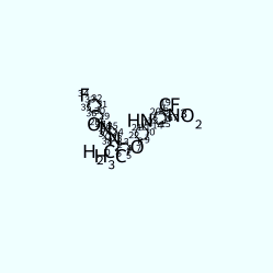 C=C/C(=C\C(=C/C)O[C@H]1CC[C@H](Nc2ccc([N+](=O)[O-])c(C(F)(F)F)c2)CC1)N1CCN(C(=O)Cc2ccc(F)cc2)CC1